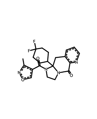 Cc1nocc1C(=O)N1CCN2C(=O)c3ncccc3CC12C1CCC(F)(F)CC1